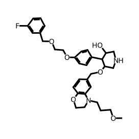 COCCCN1CCOc2ccc(COC3CNCC(O)C3c3ccc(OCCOCc4cccc(F)c4)cc3)cc21